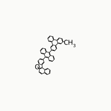 Cc1ccc2c3ccccc3c3cc(-c4c5ccccc5c(-c5ccc6oc7ccc8ccccc8c7c6c5)c5ccccc45)ccc3c2c1